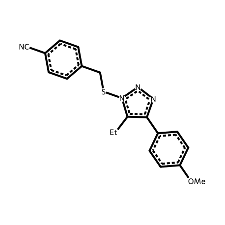 CCc1c(-c2ccc(OC)cc2)nnn1SCc1ccc(C#N)cc1